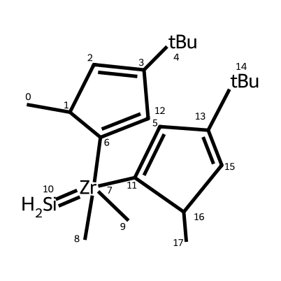 CC1C=C(C(C)(C)C)C=[C]1[Zr]([CH3])([CH3])(=[SiH2])[C]1=CC(C(C)(C)C)=CC1C